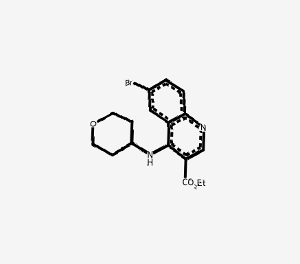 CCOC(=O)c1cnc2ccc(Br)cc2c1NC1CCOCC1